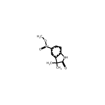 CO[N+](=O)c1ccc2c(c1)C(C)(C)C(=O)N2